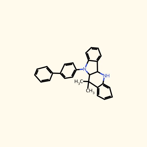 CC1(C)c2ccccc2NC2c3ccccc3N(c3ccc(-c4ccccc4)cc3)C21